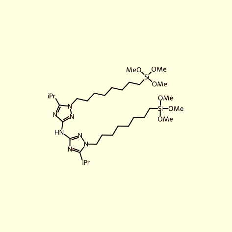 CO[Si](CCCCCCCCn1nc(Nc2nc(C(C)C)n(CCCCCCCC[Si](OC)(OC)OC)n2)nc1C(C)C)(OC)OC